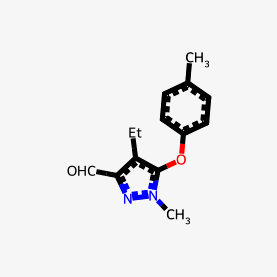 CCc1c(C=O)nn(C)c1Oc1ccc(C)cc1